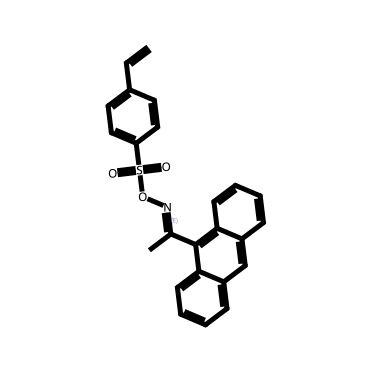 C=Cc1ccc(S(=O)(=O)O/N=C(\C)c2c3ccccc3cc3ccccc23)cc1